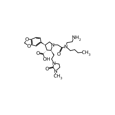 CCCCN(CCN)C(=O)CN1C[C@H](c2ccc3c(c2)OCO3)[C@@H](C(=O)O)[C@@H]1CCN1CCN(C)C1=O